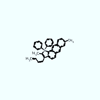 C=C/C=C\C1=C(C)[Si](c2ccccc2)(c2ccccc2)c2c1ccc1cc3cc(C)ccc3cc21